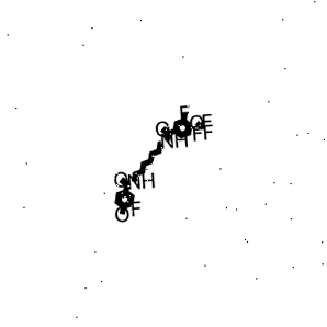 COc1ccc(C(=O)NCCCCCCCNC(=O)c2ccc(OC(F)(F)F)c(F)c2)cc1F